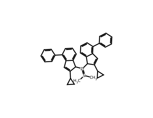 C[Si](C)=[Zr]([CH]1C(C2CC2)=Cc2c(-c3ccccc3)cccc21)[CH]1C(C2CC2)=Cc2c(-c3ccccc3)cccc21